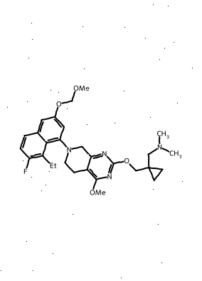 CCc1c(F)ccc2cc(OCOC)cc(N3CCc4c(nc(OCC5(CN(C)C)CC5)nc4OC)C3)c12